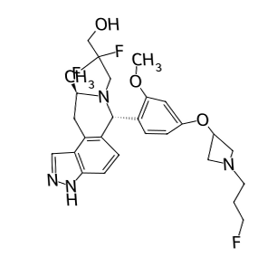 COc1cc(OC2CN(CCCF)C2)ccc1[C@@H]1c2ccc3[nH]ncc3c2C[C@@H](C)N1CC(F)(F)CO